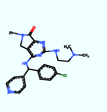 CC(C)N1Cc2c(NC(c3ccncc3)c3ccc(Cl)cc3)nc(NCCN(C)C)nc2C1=O